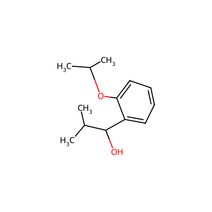 CC(C)Oc1ccccc1C(O)C(C)C